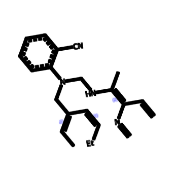 C=C/C(N=C)=C(\C)NCN(CC(/C=C\CC)=C/C)c1ccccc1C#N